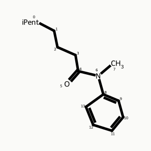 CCCC(C)CCCC(=O)N(C)c1ccccc1